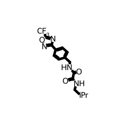 CC(C)CNC(=O)C(=O)NCc1ccc(-c2noc(C(F)(F)F)n2)cc1